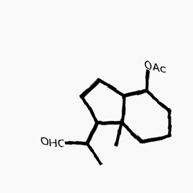 CC(=O)OC1CCCC2(C)C(C(C)C=O)CCC12